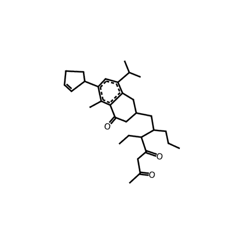 CCCC(CC1CC(=O)c2c(C)c(C3C=CCC3)cc(C(C)C)c2C1)C(CC)C(=O)CC(C)=O